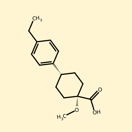 CCc1ccc([C@H]2CC[C@](OC)(C(=O)O)CC2)cc1